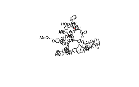 CN[C@H](CC(C)C)C(=O)N[C@H]1C(=O)N[C@@H](CC(=O)NS(=O)(=O)c2ccc(OCCCOC)cc2)C(=O)N[C@H]2C(=O)N[C@H]3C(=O)N[C@H](C(=O)N[C@H](C(=O)NC4C5CC6CC(C5)CC4C6)c4cc(O)cc(O)c4-c4cc3ccc4O)[C@H](O)c3ccc(c(Cl)c3)Oc3cc2cc(c3O[C@@H]2O[C@H](CO)[C@@H](O)[C@H](O)[C@H]2O[C@H]2C[C@](C)(N)[C@H](O)[C@H](C)O2)Oc2ccc(cc2Cl)[C@H]1O